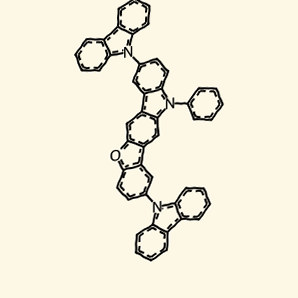 c1ccc(-n2c3ccc(-n4c5ccccc5c5ccccc54)cc3c3cc4oc5ccc(-n6c7ccccc7c7ccccc76)cc5c4cc32)cc1